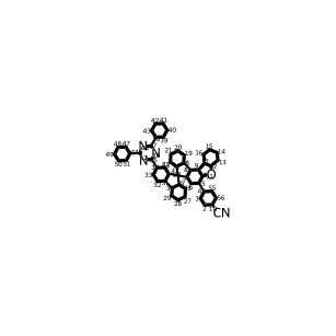 N#Cc1ccc(-c2cc3c(c4c2oc2ccccc24)-c2ccccc2C32c3ccccc3-c3ccc(-c4nc(-c5ccccc5)nc(-c5ccccc5)n4)cc32)cc1